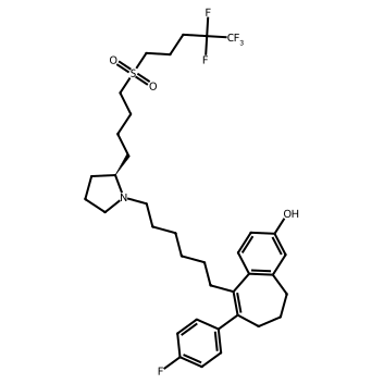 O=S(=O)(CCCC[C@@H]1CCCN1CCCCCCC1=C(c2ccc(F)cc2)CCCc2cc(O)ccc21)CCCC(F)(F)C(F)(F)F